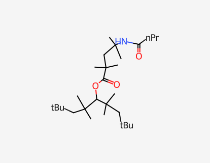 CCCC(=O)NC(C)(C)CC(C)(C)C(=O)OC(C(C)(C)CC(C)(C)C)C(C)(C)CC(C)(C)C